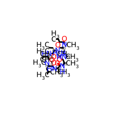 CCCC(=O)N(C)[C@H](CN)C(=O)N(C)[C@@H](CC(C)C)C(=O)N[C@H](C(=O)N(C)[C@@H](CC(C)C)C(=O)N[C@H](C)C(=O)N[C@H](C)C(=O)NC)C(C)C